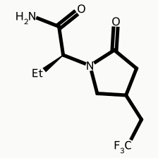 CC[C@@H](C(N)=O)N1CC(CC(F)(F)F)CC1=O